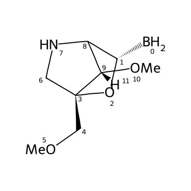 B[C@@H]1O[C@]2(COC)CNC1[C@@H]2OC